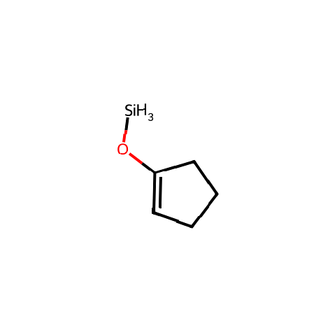 [SiH3]OC1=CCCC1